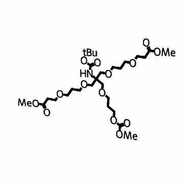 COC(=O)CCOCCCOCC(COCCCOCCC(=O)OC)(COCCCOC(=O)OC)NC(=O)OC(C)(C)C